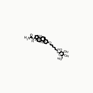 C[C@]12CCC(OCCCCCCS[C@@H]3O[C@H](CO)[C@@H](O)[C@H](O)[C@@H]3O)CC1=CC[C@@H]1[C@H]2CC[C@]2(C)C(NC(N)=O)CC[C@@H]12